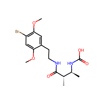 COc1cc(CCNC(=O)[C@@H](C)[C@H](C)NC(=O)O)c(OC)cc1Br